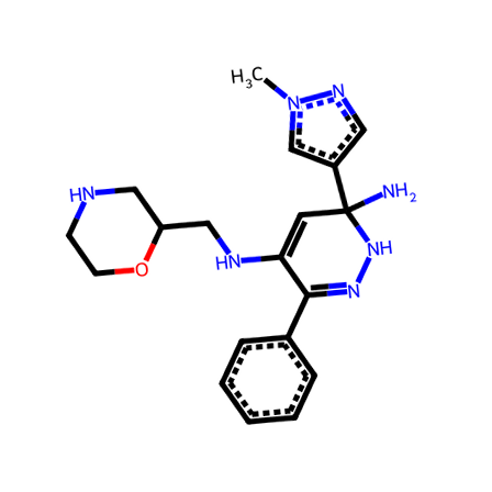 Cn1cc(C2(N)C=C(NCC3CNCCO3)C(c3ccccc3)=NN2)cn1